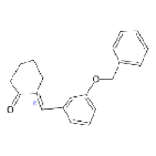 O=C1CCCC/C1=C\c1cccc(OCc2ccccc2)c1